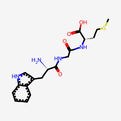 CSCC[C@H](NC(=O)CNC(=O)[C@@H](N)Cc1c[nH]c2ccccc12)C(=O)O